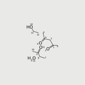 CC(=O)CC(C)=O.CCC(C)=O.CCO.O